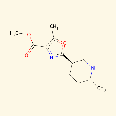 COC(=O)c1nc([C@@H]2CC[C@@H](C)NC2)oc1C